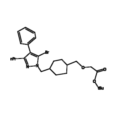 CCCc1nn(CC2CCC(COCC(=O)OC(C)(C)C)CC2)c(Br)c1-c1ccccc1